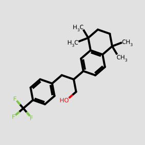 CC1(C)CCC(C)(C)c2cc(C(CO)Cc3ccc(C(F)(F)F)cc3)ccc21